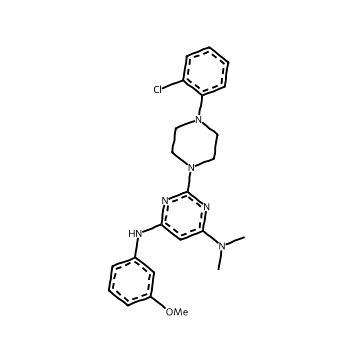 COc1cccc(Nc2cc(N(C)C)nc(N3CCN(c4ccccc4Cl)CC3)n2)c1